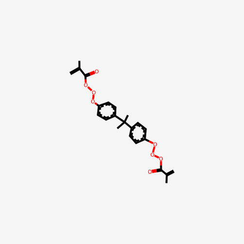 C=C(C)C(=O)OOOc1ccc(C(C)(C)c2ccc(OOOC(=O)C(=C)C)cc2)cc1